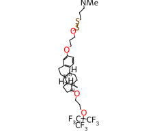 CNCCCSSOCCCOc1ccc2c(c1)CC[C@@H]1[C@@H]2CC[C@]2(C)[C@@H](OCCCOC(C(F)(F)F)(C(F)(F)F)C(F)(F)F)CC[C@@H]12